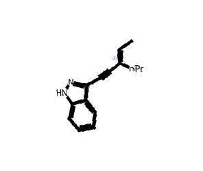 C/C=C(/C#Cc1n[nH]c2ccccc12)CCC